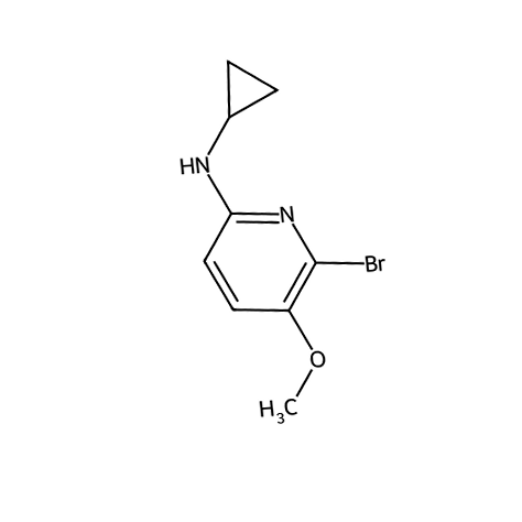 COc1ccc(NC2CC2)nc1Br